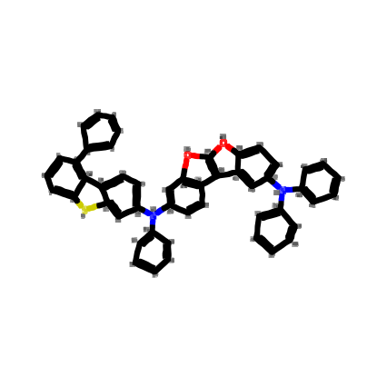 c1ccc(-c2cccc3sc4cc(N(c5ccccc5)c5ccc6c(c5)oc5oc7ccc(N(c8ccccc8)c8ccccc8)cc7c56)ccc4c23)cc1